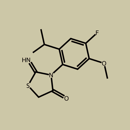 COc1cc(N2C(=N)SCC2=O)c(C(C)C)cc1F